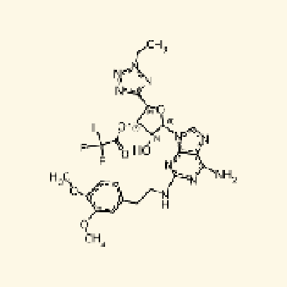 CCn1nnc([C@H]2O[C@@H](n3cnc4c(N)nc(NCCc5ccc(OC)c(OC)c5)nc43)[C@H](O)[C@@H]2OC(=O)C(F)(F)F)n1